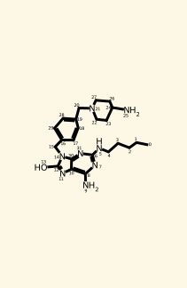 CCCCCNc1nc(N)c2nc(O)n(Cc3ccc(CN4CCC(N)CC4)cc3)c2n1